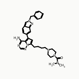 CN(C)C(=O)N1CCN(CCCCc2cc(-c3ccc4cn(Cc5ccccc5)nc4c3)c3c(N)ncnn23)CC1